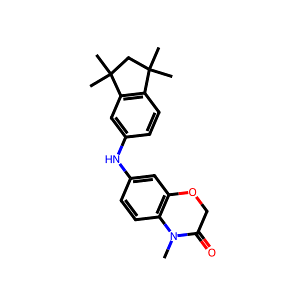 CN1C(=O)COc2cc(Nc3ccc4c(c3)C(C)(C)CC4(C)C)ccc21